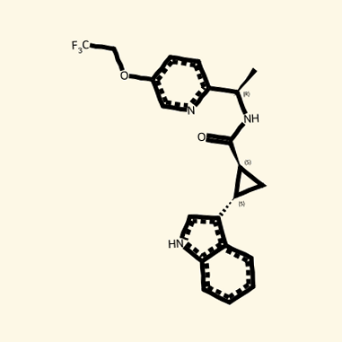 C[C@@H](NC(=O)[C@H]1C[C@@H]1c1c[nH]c2ccccc12)c1ccc(OCC(F)(F)F)cn1